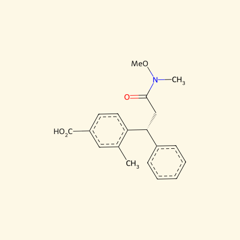 CON(C)C(=O)C[C@H](c1ccccc1)c1ccc(C(=O)O)cc1C